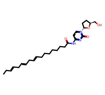 CCC=CCC=CCC=CCCCCCCCC(=O)Nc1ccn([C@@H]2CC[C@@H](CO)O2)c(=O)n1